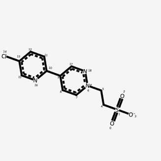 O=S(=O)([O-])CC[n+]1ccc(-c2ccc(Cl)cn2)cn1